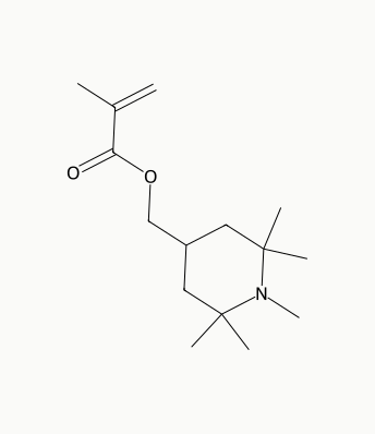 C=C(C)C(=O)OCC1CC(C)(C)N(C)C(C)(C)C1